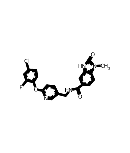 Cn1c(=O)[nH]c2cc(C(=O)NCc3ccc(Oc4ccc(Cl)cc4F)nc3)ccc21